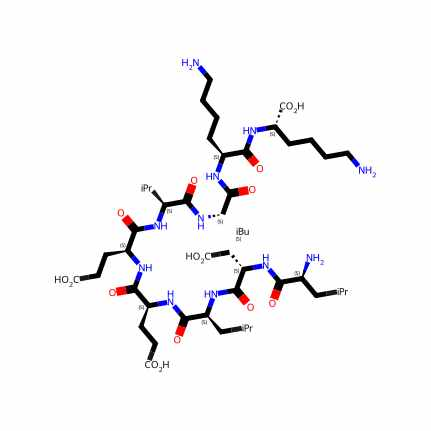 CC[C@H](C)[C@H](NC(=O)[C@@H](NC(=O)[C@H](CCC(=O)O)NC(=O)[C@H](CCC(=O)O)NC(=O)[C@H](CC(C)C)NC(=O)[C@H](CC(=O)O)NC(=O)[C@@H](N)CC(C)C)C(C)C)C(=O)N[C@@H](CCCCN)C(=O)N[C@@H](CCCCN)C(=O)O